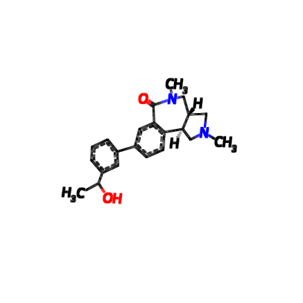 CC(O)c1cccc(-c2ccc3c(c2)C(=O)N(C)C[C@@H]2CN(C)C[C@@H]32)c1